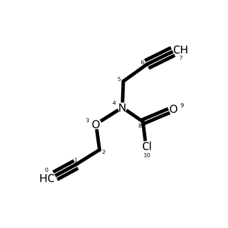 C#CCON(CC#C)C(=O)Cl